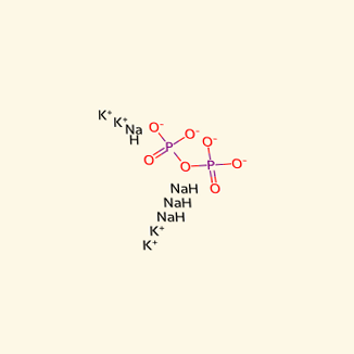 O=P([O-])([O-])OP(=O)([O-])[O-].[K+].[K+].[K+].[K+].[NaH].[NaH].[NaH].[NaH]